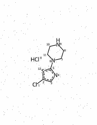 Cl.Clc1cnc(N2CCNCC2)s1